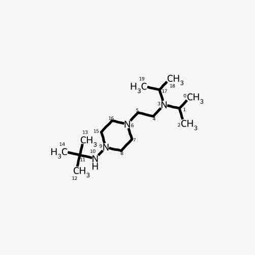 CC(C)N(CCN1CCN(NC(C)(C)C)CC1)C(C)C